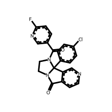 O=C(c1ccc(F)nc1)N1CCN2C(=O)c3ccncc3C12c1ccc(Cl)cc1